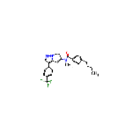 CCCCc1ccc(C(=O)N(C)c2ccn3ncc(C4C=CC(C(F)(F)F)=CC4)c3c2)cc1